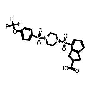 O=C(O)C1Cc2cccc(S(=O)(=O)N3CCN(S(=O)(=O)c4ccc(OC(F)(F)F)cc4)CC3)c2C1